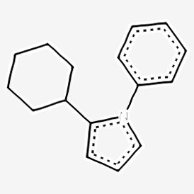 c1ccc(-n2cccc2C2CCCCC2)cc1